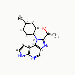 C=C(O)c1nc2cnc3[nH]ccc3c2n1C1CCC(C#N)CC1